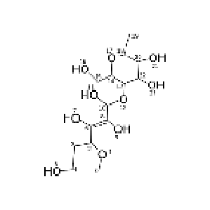 COC(CCO)/C(O)=C(\O)C(O)OC1C(CO)OC(C)C(O)C1O